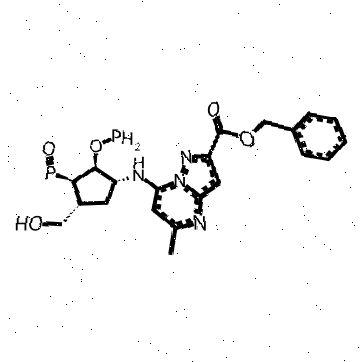 Cc1cc(N[C@@H]2C[C@H](CO)[C@@H](P=O)[C@H]2OP)n2nc(C(=O)OCc3ccccc3)cc2n1